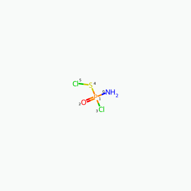 NP(=O)(Cl)SCl